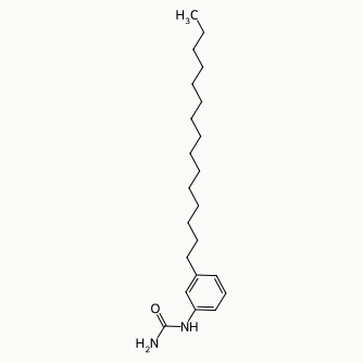 CCCCCCCCCCCCCCCc1cccc(NC(N)=O)c1